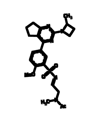 COc1ccc(-c2nc(N3CCC3C)nc3c2CCC3)cc1S(=O)(=O)N=CCN(C)C(C)=O